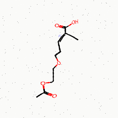 CC(=O)OCCOCC/C=C(\C)C(=O)O